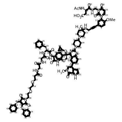 COc1ccc(C#CCNC2(C)CCN(C3CCN(c4nc([C@@](COCNC(=O)CNC(=O)[C@H](Cc5ccccc5)NC(=O)CNC(=O)CNC(=O)CCOCCOCCN5C(=O)C(Sc6ccccc6)=C(Sc6ccccc6)C5=O)(OC5CC5)c5ccccc5)c5cc(-c6cn(C)c(=O)c7[nH]ccc67)ccc5n4)CC3)CC2)cc1-n1ccc(=O)n(CNC(=O)[C@H](CC(=O)O)NC(C)=O)c1=O